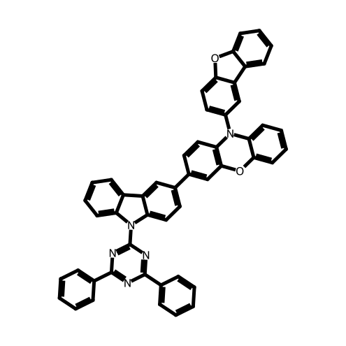 c1ccc(-c2nc(-c3ccccc3)nc(-n3c4ccccc4c4cc(-c5ccc6c(c5)Oc5ccccc5N6c5ccc6oc7ccccc7c6c5)ccc43)n2)cc1